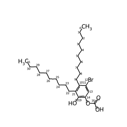 CCCCCCCCCCc1c(Br)cc(OC(=O)O)c(O)c1CCCCCCCCCC